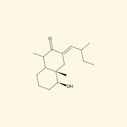 CCC(C)C=C1C[C@@]2(C)C(CCC[C@@H]2O)C(C)C1=O